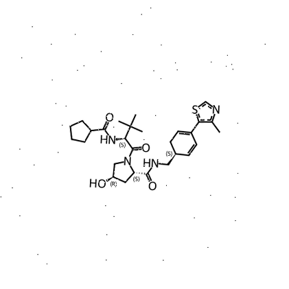 Cc1ncsc1C1=CC[C@H](CNC(=O)[C@@H]2C[C@@H](O)CN2C(=O)[C@@H](NC(=O)C2CCCC2)C(C)(C)C)C=C1